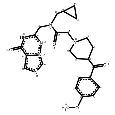 COc1ccc(C(=O)C2CCN(CC(=O)N(Cc3nn4cncc4c(=O)[nH]3)CC3CC3)CC2)cc1